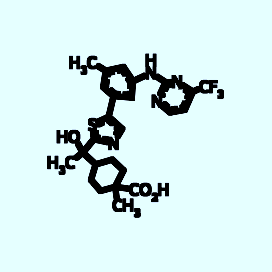 Cc1cc(Nc2nccc(C(F)(F)F)n2)cc(-c2cnc(C(C)(O)C3CCC(C)(C(=O)O)CC3)s2)c1